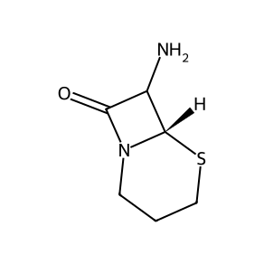 NC1C(=O)N2CCCS[C@@H]12